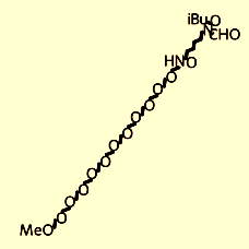 CCC(C)C(=O)N(C=O)CCCCCC(=O)NCCOCCOCCOCCOCCOCCOCCOCCOCCOCCOCCOCCOC